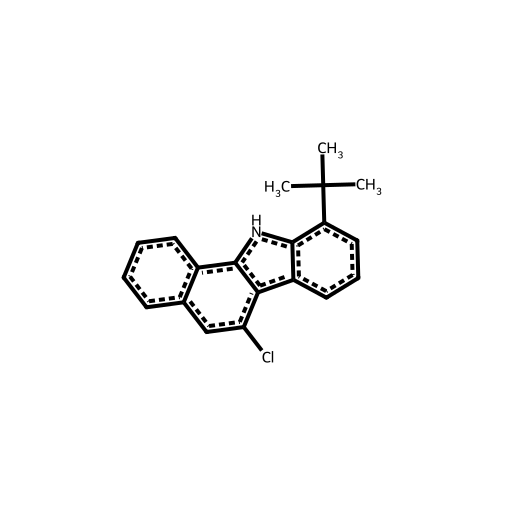 CC(C)(C)c1cccc2c1[nH]c1c3ccccc3cc(Cl)c21